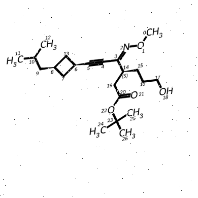 CON=C(C#C[C@H]1C[C@@H](CC(C)C)C1)[C@@H](CCCO)CC(=O)OC(C)(C)C